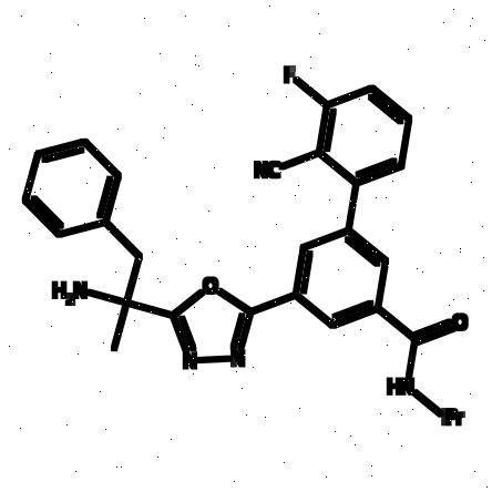 CC(C)NC(=O)c1cc(-c2nnc(C(C)(N)Cc3ccccc3)o2)cc(-c2cccc(F)c2C#N)c1